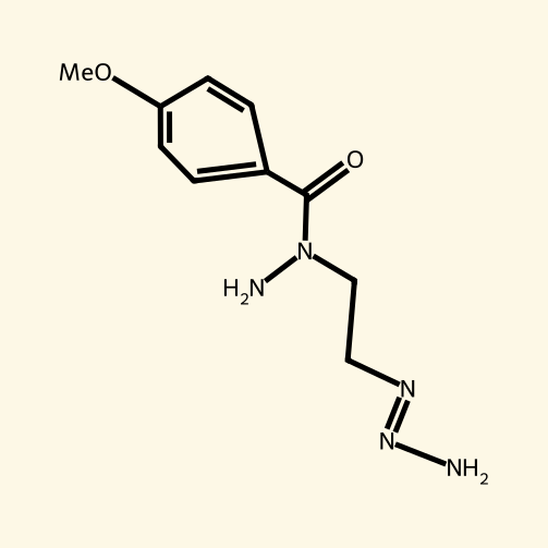 COc1ccc(C(=O)N(N)CCN=NN)cc1